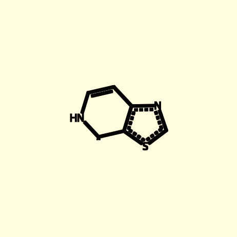 [C]1NC=Cc2ncsc21